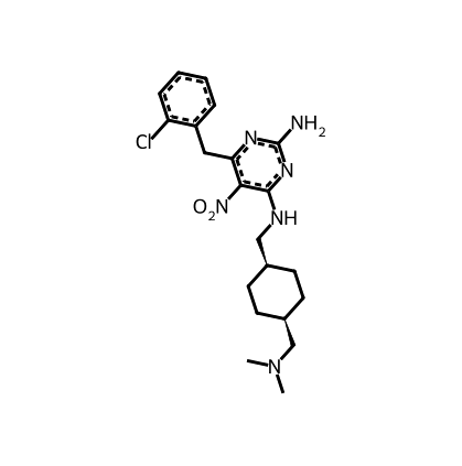 CN(C)C[C@H]1CC[C@@H](CNc2nc(N)nc(Cc3ccccc3Cl)c2[N+](=O)[O-])CC1